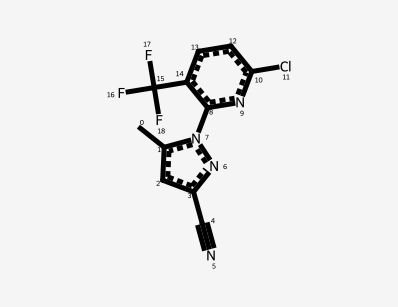 Cc1cc(C#N)nn1-c1nc(Cl)ccc1C(F)(F)F